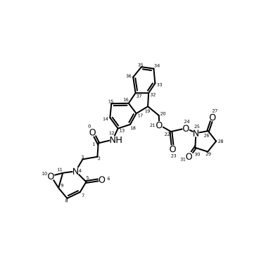 O=C(CCN1C(=O)C=CC2OC21)Nc1ccc2c(c1)C(COC(=O)ON1C(=O)CCC1=O)c1ccccc1-2